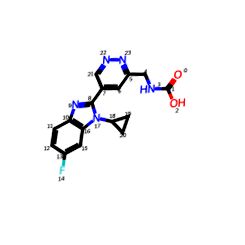 O=C(O)NCc1cc(-c2nc3ccc(F)cc3n2C2CC2)cnn1